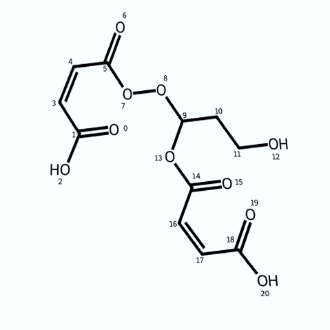 O=C(O)/C=C\C(=O)OOC(CCO)OC(=O)/C=C\C(=O)O